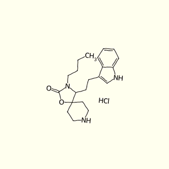 CCCCN1C(=O)OC2(CCNCC2)C1CCc1c[nH]c2ccccc12.Cl